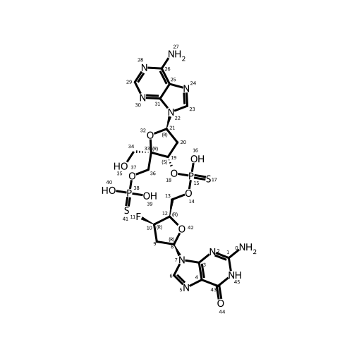 Nc1nc2c(ncn2[C@H]2C[C@@H](F)[C@@H](COP(O)(=S)O[C@H]3C[C@H](n4cnc5c(N)ncnc54)O[C@]3(CO)COP(O)(O)=S)O2)c(=O)[nH]1